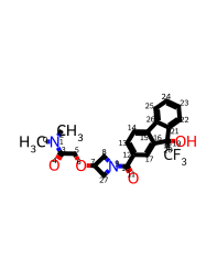 CN(C)C(=O)COC1CN(C(=O)c2ccc3c(c2)C(O)(C(F)(F)F)c2ccccc2-3)C1